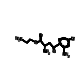 CCCOC(=O)C(N)CC(=O)c1ccc(Cl)cc1N